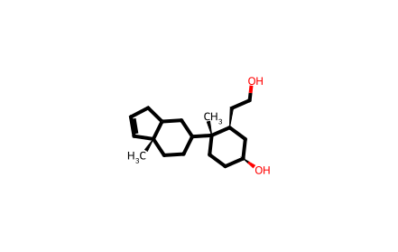 C[C@@]12C=CCC1CC([C@@]1(C)CC[C@H](O)C[C@@H]1CCO)CC2